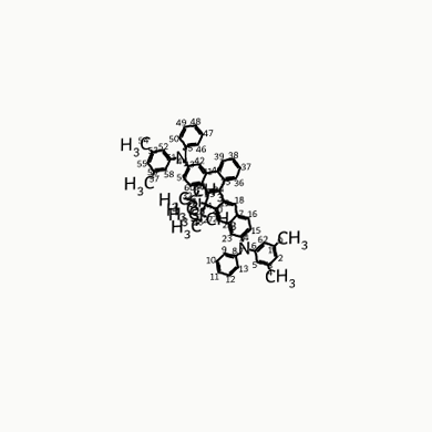 Cc1cc(C)cc(N(c2ccccc2)c2ccc3cc4c(cc3c2)C([Si](C)(C)C)([Si](C)(C)C)c2c-4c3ccccc3c3cc(N(c4ccccc4)c4cc(C)cc(C)c4)ccc23)c1